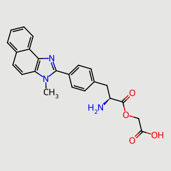 Cn1c(-c2ccc(C[C@H](N)C(=O)OCC(=O)O)cc2)nc2c3ccccc3ccc21